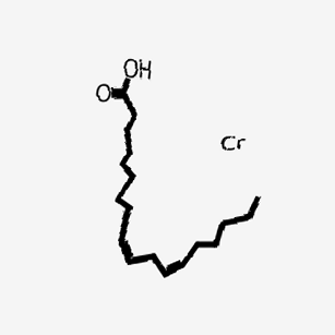 CCCCC/C=C\C/C=C\CCCCCCCC(=O)O.[Cr]